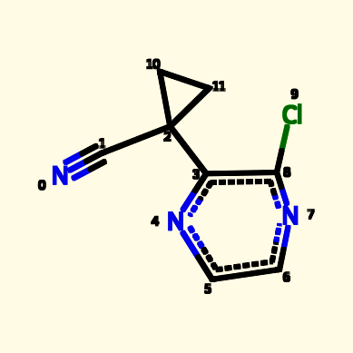 N#CC1(c2nccnc2Cl)CC1